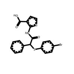 O=C(O)c1ccsc1NC(=O)C(Sc1ccc(Br)cc1)c1ccccc1